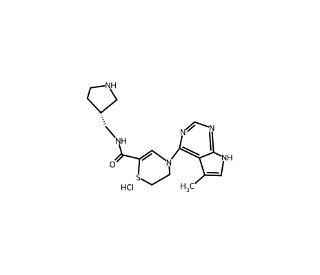 Cc1c[nH]c2ncnc(N3C=C(C(=O)NC[C@@H]4CCNC4)SCC3)c12.Cl